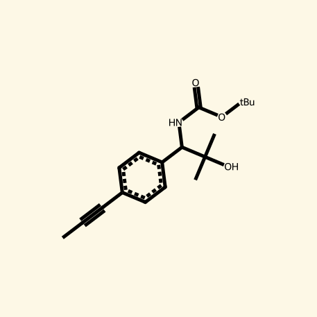 CC#Cc1ccc(C(NC(=O)OC(C)(C)C)C(C)(C)O)cc1